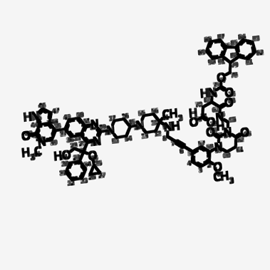 COc1ccc(C#CCNC2(C)CCN(C3CCN(c4nc(C(CO)(OC5CC5)c5ccccc5)c5cc(-c6cn(C)c(=O)c7[nH]ccc67)ccc5n4)CC3)CC2)cc1N1CCC(=O)N(CNC(=O)C(CC(=O)O)NC(=O)OCC2c3ccccc3-c3ccccc32)C1=O